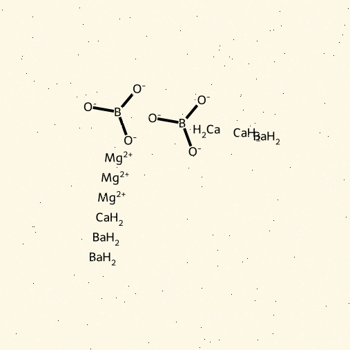 [BaH2].[BaH2].[BaH2].[CaH2].[CaH2].[CaH2].[Mg+2].[Mg+2].[Mg+2].[O-]B([O-])[O-].[O-]B([O-])[O-]